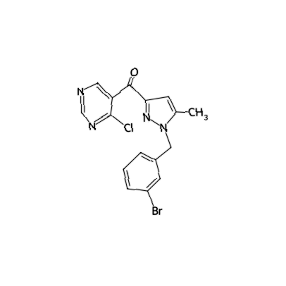 Cc1cc(C(=O)c2cncnc2Cl)nn1Cc1cccc(Br)c1